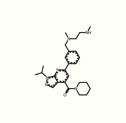 CNCCN(C)Cc1cccc(-c2cc(C(=O)N3CCCCC3)c3cnn(C(C)C)c3n2)c1